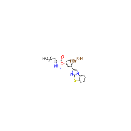 Br.Br.N[C@@H](CC(=O)O)C(=O)Oc1cccc(-c2cn3c(n2)sc2ccccc23)c1